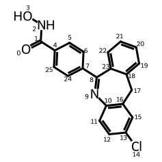 O=C(NO)c1ccc(C2=Nc3ccc(Cl)cc3Cc3ccccc32)cc1